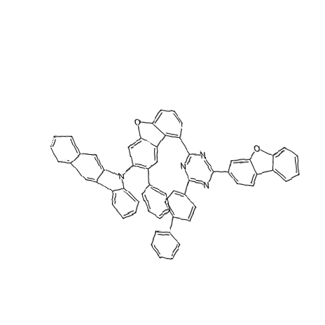 c1ccc(-c2ccc(-c3nc(-c4ccc5c(c4)oc4ccccc45)nc(-c4cccc5oc6cc(-n7c8ccccc8c8cc9ccccc9cc87)c(-c7ccccc7)cc6c45)n3)cc2)cc1